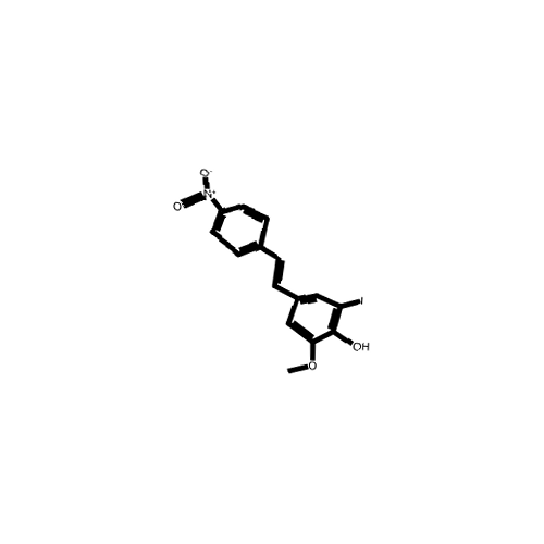 COc1cc(/C=C/c2ccc([N+](=O)[O-])cc2)cc(I)c1O